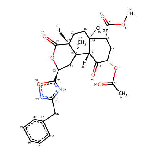 COC(=O)[C@@H]1C[C@H](OC(C)=O)C(=O)[C@H]2[C@@]1(C)CC[C@H]1C(=O)O[C@H](c3nc(Cc4ccccc4)no3)C[C@]21C